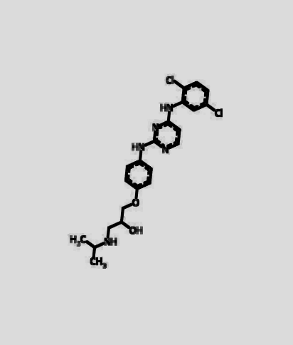 CC(C)NCC(O)COc1ccc(Nc2nccc(Nc3cc(Cl)ccc3Cl)n2)cc1